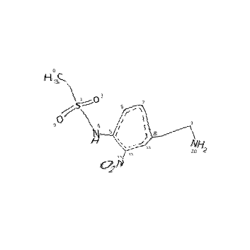 CS(=O)(=O)Nc1ccc(CN)cc1[N+](=O)[O-]